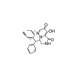 C#C/C=C(\C=C/C)C(c1ccccc1)C1CNC(=O)c2c(O)c(=O)cnn21